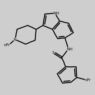 CCCc1cccc(C(=S)Nc2ccc3[nH]cc(C4CCN(CCC)CC4)c3c2)c1